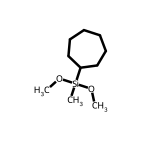 CO[Si](C)(OC)C1CCCCCC1